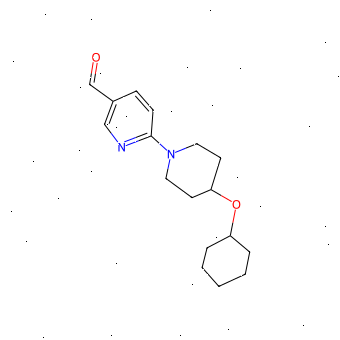 O=Cc1ccc(N2CCC(OC3CCCCC3)CC2)nc1